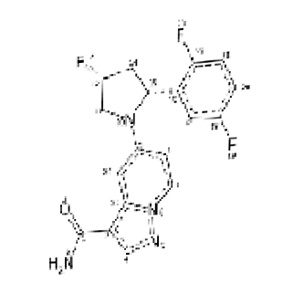 NC(=O)c1cnn2ccc(N3C[C@H](F)C[C@@H]3c3cc(F)ccc3F)cc12